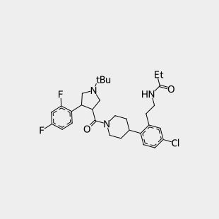 CCC(=O)NCCc1cc(Cl)ccc1C1CCN(C(=O)C2CN(C(C)(C)C)CC2c2ccc(F)cc2F)CC1